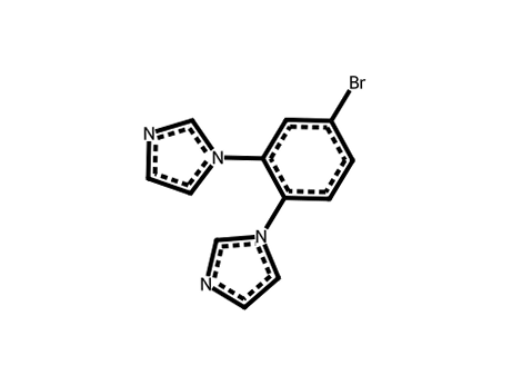 Brc1ccc(-n2ccnc2)c(-n2ccnc2)c1